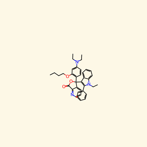 CCCCOc1cc(N(CC)CC)ccc1C1(c2c(-c3ccccc3)n(CC)c3ccccc23)OC(=O)c2ncccc21